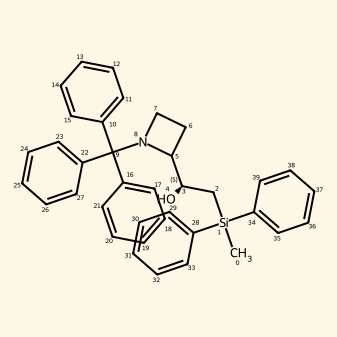 C[Si](C[C@@H](O)C1CCN1C(c1ccccc1)(c1ccccc1)c1ccccc1)(c1ccccc1)c1ccccc1